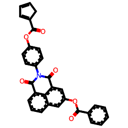 O=C(Oc1ccc(N2C(=O)c3cccc4cc(OC(=O)c5ccccc5)cc(c34)C2=O)cc1)C1=CC=CC1